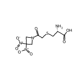 N[C@@H](CSCC(=O)N1CC([N+](=O)[O-])([N+](=O)[O-])C1)C(=O)O